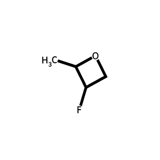 CC1OC[C]1F